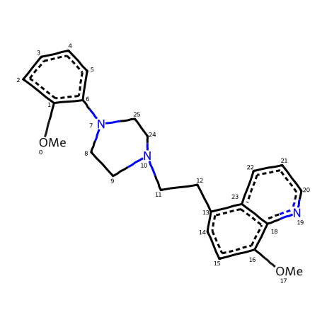 COc1ccccc1N1CCN(CCc2ccc(OC)c3ncccc23)CC1